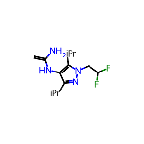 C=C(N)Nc1c(C(C)C)nn(CC(F)F)c1C(C)C